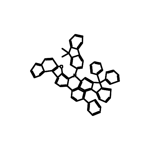 CC1(C)c2ccccc2-c2ccc(N(c3ccc4c(c3)C(c3ccccc3)(c3ccccc3)c3ccccc3-4)c3c(-c4ccc(-c5ccccc5)cc4)ccc4c3oc3ccc5ccccc5c34)cc21